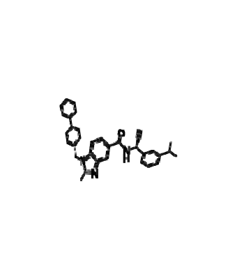 C#C[C@H](NC(=O)c1ccc2c(c1)nc(C)n2Cc1ccc(-c2ccccc2)cc1)c1cccc(C(C)C)c1